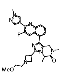 COCCN1CC(c2nc(-c3cccc4nc(-c5cnn(C)c5)c(F)cc34)c3n2C(C)C(=O)N(C)C3)C1